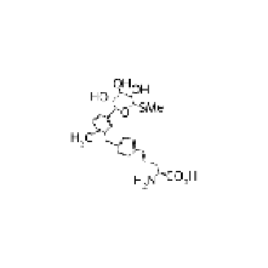 CS[C@H]1O[C@@H](c2ccc(C)c(Cc3ccc(/C=C/C[C@H](N)C(=O)O)cc3)c2)[C@H](O)[C@@H](O)[C@@H]1O